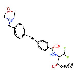 COC(=O)C(NC(=O)c1ccc(C#Cc2ccc(CN3CCOCC3)cc2)cc1)C(F)F